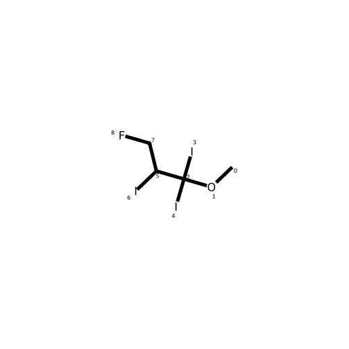 COC(I)(I)[C](I)CF